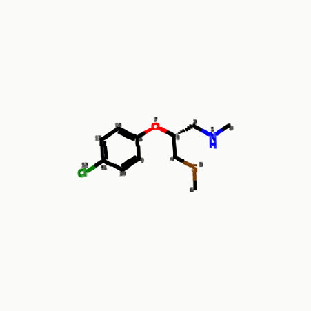 CNC[C@H](CSC)Oc1ccc(Cl)cc1